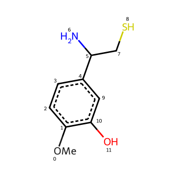 COc1ccc(C(N)CS)cc1O